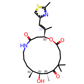 C/C(=C\c1csc(C)n1)[C@@H]1CC(=O)NCCC[C@H](C)[C@H](O)[C@@H](C)C(=O)C(C)(C)CCC(=O)O1